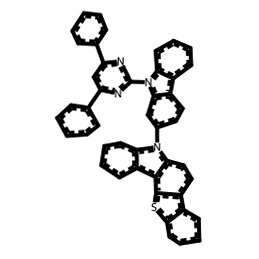 c1ccc(-c2cc(-c3ccccc3)nc(-n3c4ccccc4c4ccc(-n5c6ccccc6c6c7sc8ccccc8c7ccc65)cc43)n2)cc1